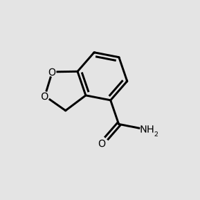 NC(=O)c1cccc2c1COO2